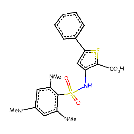 CNc1cc(NC)c(S(=O)(=O)Nc2cc(-c3ccccc3)sc2C(=O)O)c(NC)c1